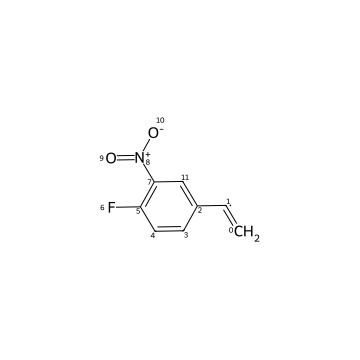 C=[C]c1ccc(F)c([N+](=O)[O-])c1